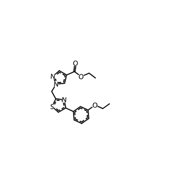 CCOC(=O)c1cnn(Cc2nc(-c3cccc(OCC)c3)cs2)c1